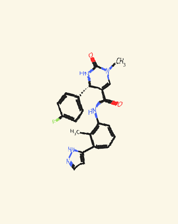 Cc1c(NC(=O)C2=CN(C)C(=O)N[C@H]2c2ccc(F)cc2)cccc1-c1ccn[nH]1